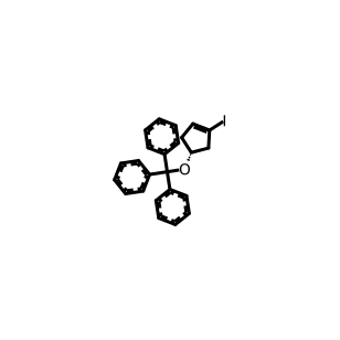 IC1=CC[C@@H](OC(c2ccccc2)(c2ccccc2)c2ccccc2)C1